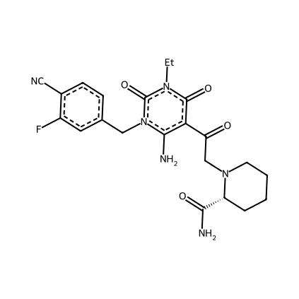 CCn1c(=O)c(C(=O)CN2CCCC[C@@H]2C(N)=O)c(N)n(Cc2ccc(C#N)c(F)c2)c1=O